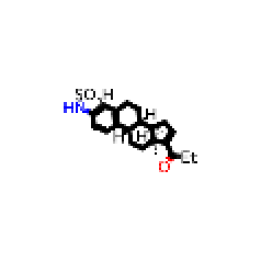 CCC(=O)C1=CC[C@H]2[C@@H]3CCc4cc(NS(=O)(=O)O)ccc4[C@H]3CC[C@]12C